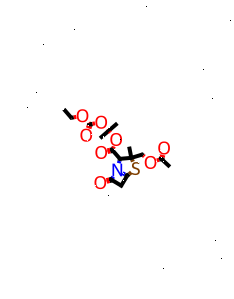 CCOC(=O)OC(C)(C)OC(=O)C1N2C(=O)CC2SC1(C)COC(C)=O